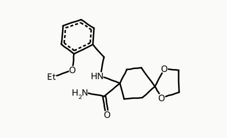 CCOc1ccccc1CNC1(C(N)=O)CCC2(CC1)OCCO2